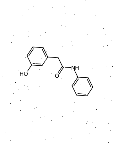 O=C(Cc1cccc(O)c1)Nc1ccccc1